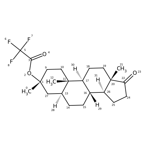 C[C@@]1(OC(=O)C(F)(F)F)CC[C@@]2(C)[C@@H](CC[C@@H]3[C@@H]2CC[C@]2(C)C(=O)CC[C@@H]32)C1